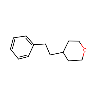 c1ccc(CCC2CCOCC2)cc1